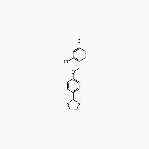 Clc1ccc(COc2ccc(C3SCCS3)cc2)c(Cl)c1